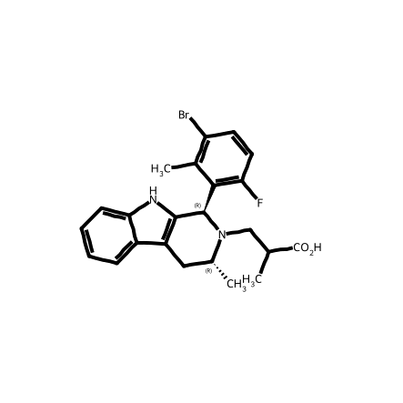 Cc1c(Br)ccc(F)c1[C@@H]1c2[nH]c3ccccc3c2C[C@@H](C)N1CC(C)C(=O)O